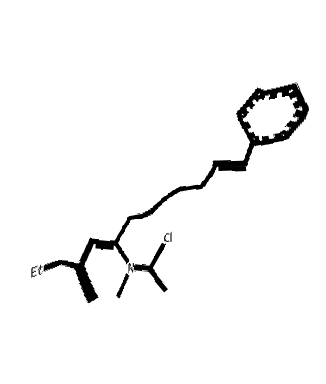 C=C(/C=C(/CCCC/C=C/c1ccccc1)N(C)C(C)Cl)CC